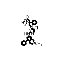 CN1CCc2c(cc(Nc3ncc(Cl)c(N4CC(C)(CC(=O)O)c5ccccc54)n3)cc2-c2ccccc2)C1